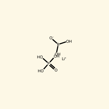 O=P(O)(O)O.[Li+].[O-]B(O)O